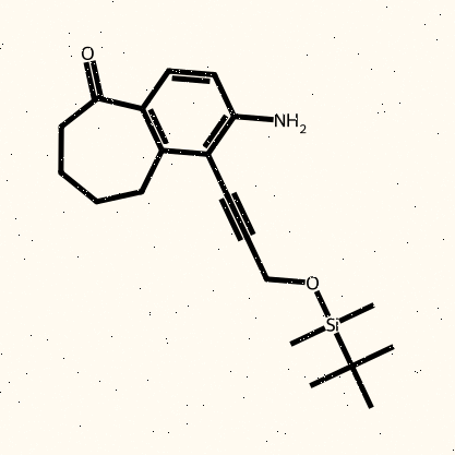 CC(C)(C)[Si](C)(C)OCC#Cc1c(N)ccc2c1CCCCC2=O